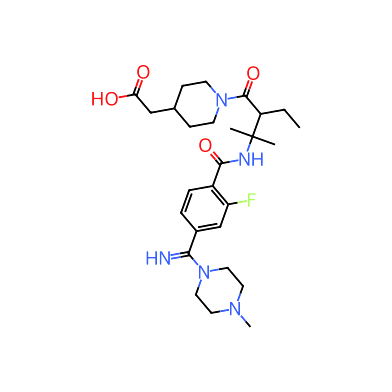 CCC(C(=O)N1CCC(CC(=O)O)CC1)C(C)(C)NC(=O)c1ccc(C(=N)N2CCN(C)CC2)cc1F